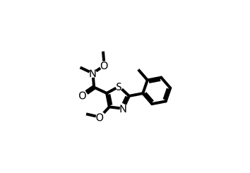 COc1nc(-c2ccccc2C)sc1C(=O)N(C)OC